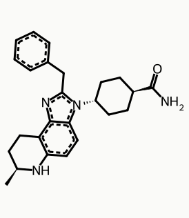 C[C@H]1CCc2c(ccc3c2nc(Cc2ccccc2)n3[C@H]2CC[C@H](C(N)=O)CC2)N1